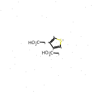 CC(=O)O.CC(=O)O.c1ccsc1